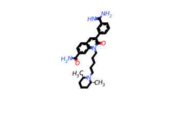 C[C@@H]1CCC[C@H](C)N1CCCCCn1c(=O)c(-c2cccc(C(=N)N)c2)cc2ccc(C(N)=O)cc21